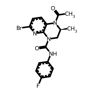 CC(=O)N1c2ccc(Br)nc2N(C(=O)Nc2ccc(F)cc2)C[C@@H]1C